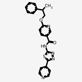 CC(COc1ccc(C(=O)Nc2nnc(-c3ccncc3)s2)cn1)c1ccccc1